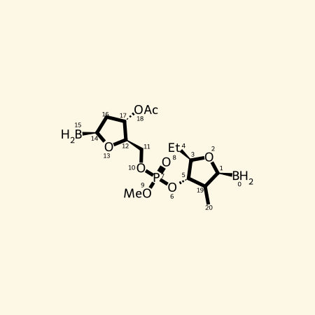 B[C@@H]1O[C@H](CC)[C@@H](OP(=O)(OC)OC[C@H]2O[C@@H](B)C[C@@H]2OC(C)=O)C1C